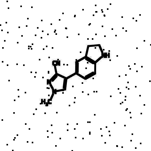 Cn1cc(-c2ccc3c(c2)CCN3)c(C#N)n1